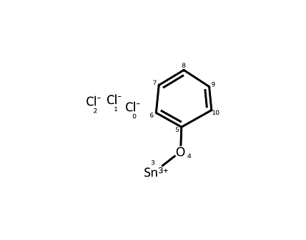 [Cl-].[Cl-].[Cl-].[Sn+3][O]c1ccccc1